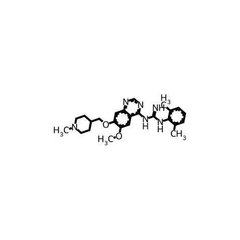 COc1cc2c(NC(=N)Nc3c(C)cccc3C)ncnc2cc1OCC1CCN(C)CC1